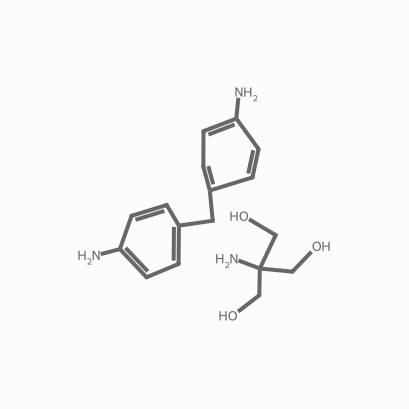 NC(CO)(CO)CO.Nc1ccc(Cc2ccc(N)cc2)cc1